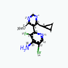 COc1ncnc(C2CC2)c1-c1ncc(Br)c(N)c1F